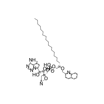 CCCCCCCCCCCCCCCCCC[C@@H](COP(=O)(O)OC[C@@](CC#N)(OC)[C@@H](O)[C@@H](O)c1ccc2c(N)ncnn12)OCc1ccc2ccccc2n1